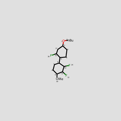 CCCCOC1CCC(C2CCC(OC)C(F)C2F)C(F)C1